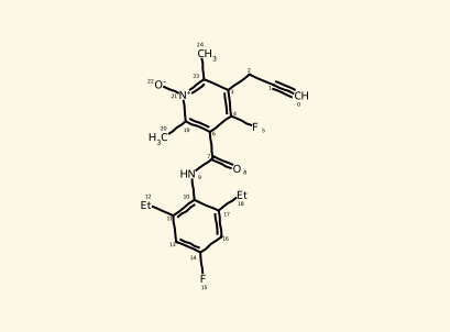 C#CCc1c(F)c(C(=O)Nc2c(CC)cc(F)cc2CC)c(C)[n+]([O-])c1C